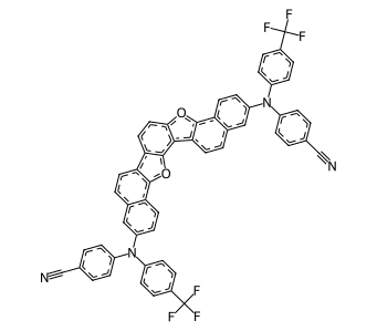 N#Cc1ccc(N(c2ccc(C(F)(F)F)cc2)c2ccc3c(ccc4c5ccc6oc7c8ccc(N(c9ccc(C#N)cc9)c9ccc(C(F)(F)F)cc9)cc8ccc7c6c5oc34)c2)cc1